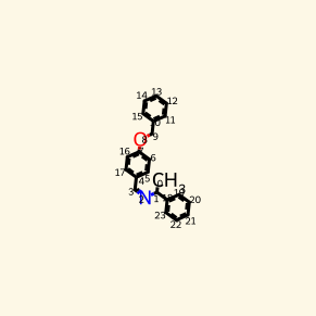 CC(/N=C\c1ccc(OCc2ccccc2)cc1)c1ccccc1